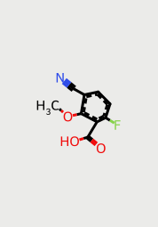 COc1c(C#N)ccc(F)c1C(=O)O